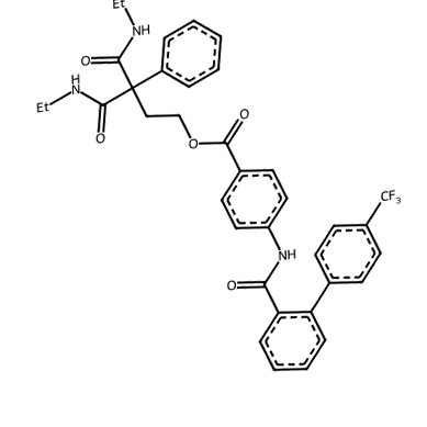 CCNC(=O)C(CCOC(=O)c1ccc(NC(=O)c2ccccc2-c2ccc(C(F)(F)F)cc2)cc1)(C(=O)NCC)c1ccccc1